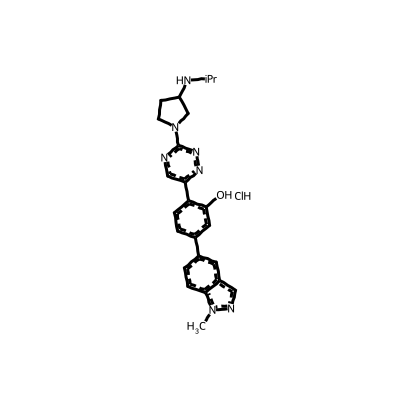 CC(C)NC1CCN(c2ncc(-c3ccc(-c4ccc5c(cnn5C)c4)cc3O)nn2)C1.Cl